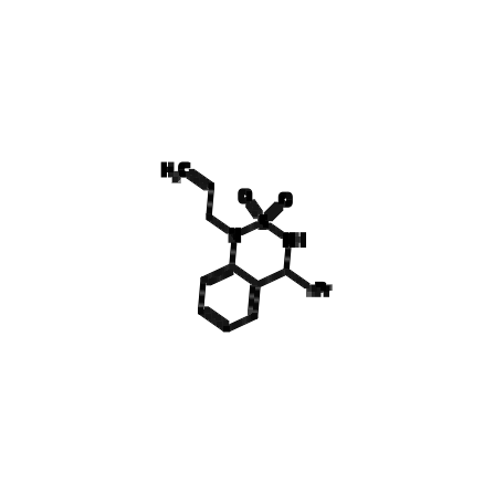 C=CCN1c2ccccc2C(CCC)NS1(=O)=O